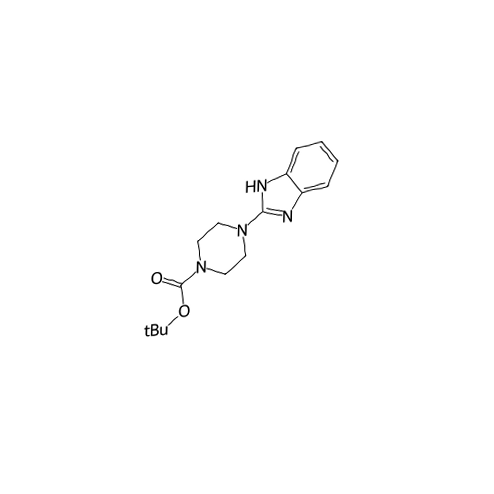 CC(C)(C)OC(=O)N1CCN(c2nc3ccccc3[nH]2)CC1